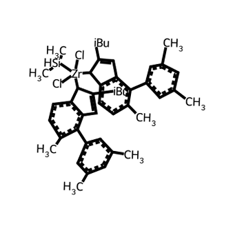 CCC(C)C1=Cc2c(ccc(C)c2-c2cc(C)cc(C)c2)[CH]1[Zr]([Cl])([Cl])([CH]1C(C(C)CC)=Cc2c1ccc(C)c2-c1cc(C)cc(C)c1)[SiH](C)C